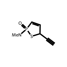 C#CC1C=CP(=O)(NC)S1